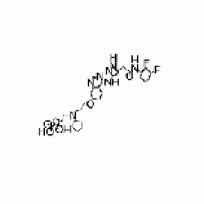 O=C(Cc1cc(Nc2ncnc3cc(OCCCN(CCOP(=O)(O)O)C4CCCC4)ccc23)n[nH]1)Nc1cccc(F)c1F